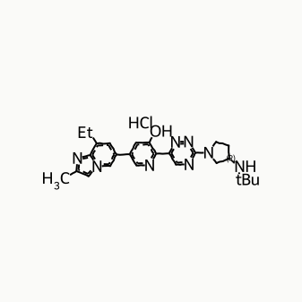 CCc1cc(-c2cnc(-c3cnc(N4CC[C@@H](NC(C)(C)C)C4)nn3)c(O)c2)cn2cc(C)nc12.Cl